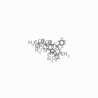 Cc1c(-c2ncco2)sc2c1c(=O)n(C(C)(C)C(=O)OC(C)(C)C)c(=O)n2C[C@H](OCC(C)CO)c1ccccc1